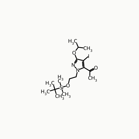 CC(=O)c1c(I)c(OC(C)C)nn1CCO[Si](C)(C)C(C)(C)C